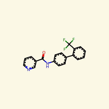 O=C(Nc1ccc(-c2ccccc2C(F)(F)F)cc1)c1cccnc1